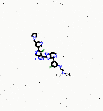 CN(C)CCNc1cc(F)cc(-c2nccc3[nH]c(-c4n[nH]c5cnc(-c6cncc(CN7CCCC7)c6)c(F)c45)nc23)c1